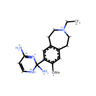 COc1cc2c(cc1C1(N)N=C(N)C=CN1)CCN(CC(F)(F)F)CC2